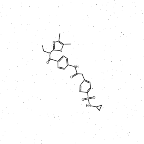 CCN(C(=O)c1ccc(NC(=O)Cc2ccc(S(=O)(=O)NC3CC3)cc2)cc1)c1nc(C)c(C)s1